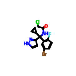 O=C(CCl)NC(c1cc[nH]n1)(c1cc(Br)ccc1F)C1CC1